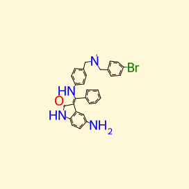 CN(Cc1ccc(Br)cc1)Cc1ccc(N/C(=C2\C(=O)Nc3ccc(N)cc32)c2ccccc2)cc1